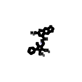 Cc1cc(N/N=C/c2c(C)n(C)n(-c3ccccc3)c2=O)c2cc3c(cc2n1)OCO3